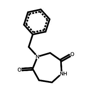 O=C1CN(Cc2ccccc2)C(=O)CCN1